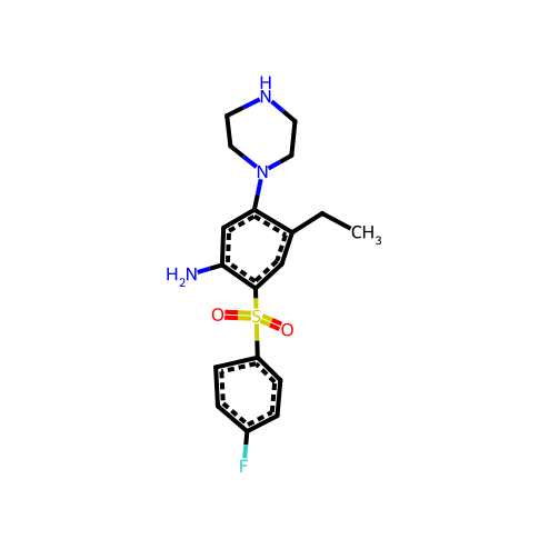 CCc1cc(S(=O)(=O)c2ccc(F)cc2)c(N)cc1N1CCNCC1